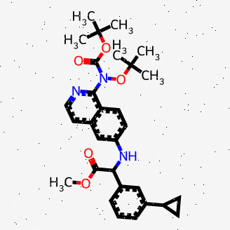 COC(=O)C(Nc1ccc2c(N(OC(C)(C)C)C(=O)OC(C)(C)C)nccc2c1)c1cccc(C2CC2)c1